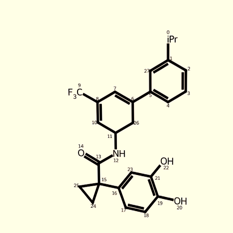 CC(C)c1cccc(C2=CC(C(F)(F)F)=CC(NC(=O)C3(c4ccc(O)c(O)c4)CC3)C2)c1